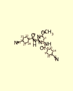 COc1cc(NC(=O)c2ccc(C#N)cc2)nc(NC(=O)c2ccc(C#N)cc2)n1